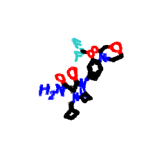 NC(=O)[C@H](C(=O)Nc1ccc(N2CCOCC2=O)c(OC(F)F)c1)N(CC1CCC1)C1CCC1